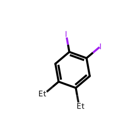 CCc1cc(I)c(I)cc1CC